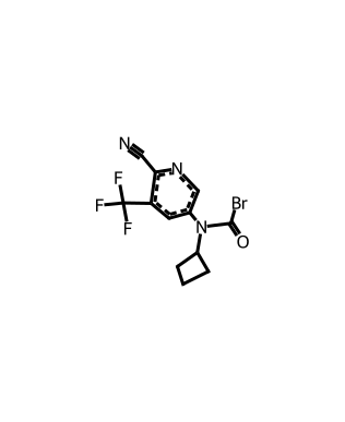 N#Cc1ncc(N(C(=O)Br)C2CCC2)cc1C(F)(F)F